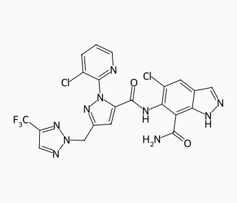 NC(=O)c1c(NC(=O)c2cc(Cn3ncc(C(F)(F)F)n3)nn2-c2ncccc2Cl)c(Cl)cc2cn[nH]c12